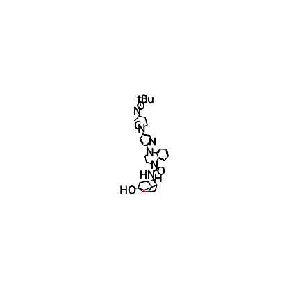 CC(C)(C)ON=C1CCN(c2ccc(N3CCN(C(=O)N[C@H]4C5CC6CC4C[C@@](O)(C6)C5)c4ccccc43)nc2)CC1